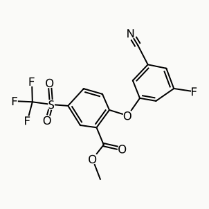 COC(=O)c1cc(S(=O)(=O)C(F)(F)F)ccc1Oc1cc(F)cc(C#N)c1